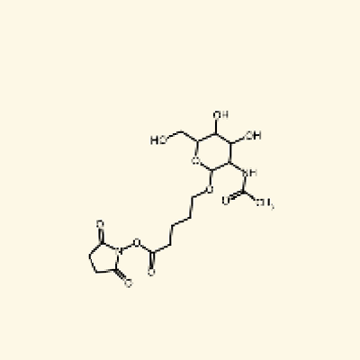 CC(=O)NC1C(OCCCCC(=O)ON2C(=O)CCC2=O)OC(CO)C(O)C1O